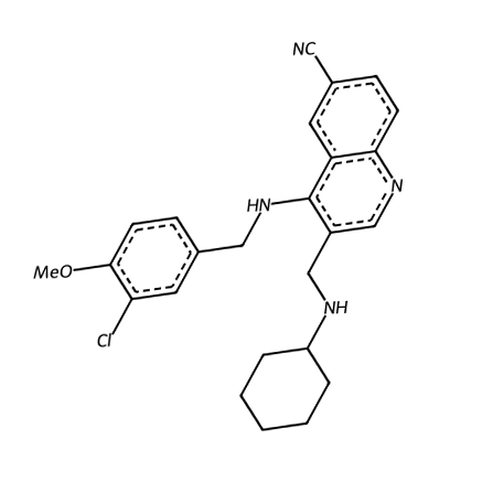 COc1ccc(CNc2c(CNC3CCCCC3)cnc3ccc(C#N)cc23)cc1Cl